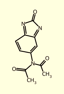 CC(=O)N(C(C)=O)c1ccc2c(c1)=NC(=O)N=2